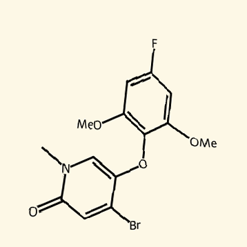 COc1cc(F)cc(OC)c1Oc1cn(C)c(=O)cc1Br